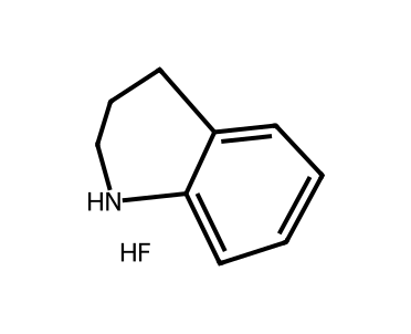 F.c1ccc2c(c1)CCCN2